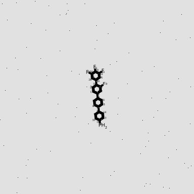 Fc1cc(-c2ccc(-c3ccc(P)cc3)cc2)ccc1-c1cc(F)c(F)c(F)c1